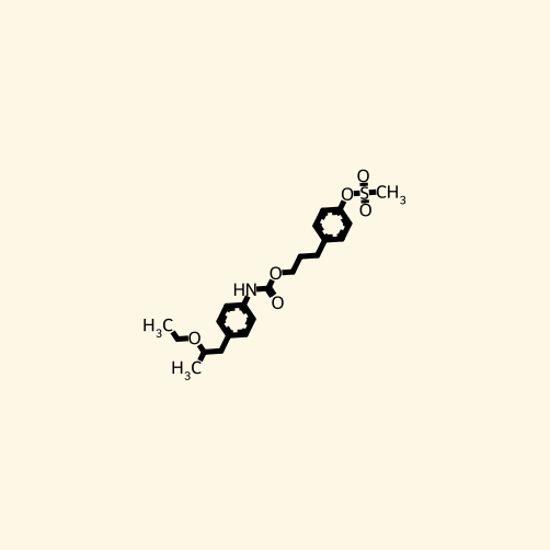 CCOC(C)Cc1ccc(NC(=O)OCCCc2ccc(OS(C)(=O)=O)cc2)cc1